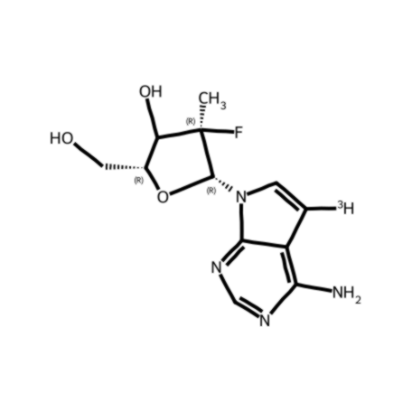 [3H]c1cn([C@@H]2O[C@H](CO)C(O)[C@@]2(C)F)c2ncnc(N)c12